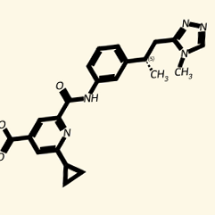 C[C@@H](Cc1nncn1C)c1cccc(NC(=O)c2cc(C(=O)O)cc(C3CC3)n2)c1